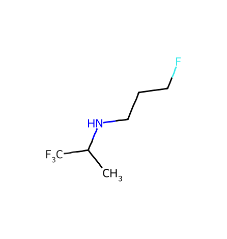 CC(NCCCF)C(F)(F)F